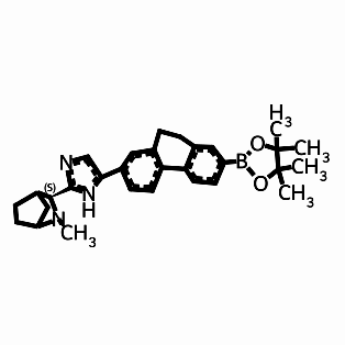 CN1C2CCC(C2)[C@H]1c1ncc(-c2ccc3c(c2)CCc2cc(B4OC(C)(C)C(C)(C)O4)ccc2-3)[nH]1